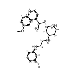 COc1ccc2nccc(C(O)C[C@H]3CC(NCCNc4cccc(F)c4)CCN3)c2c1